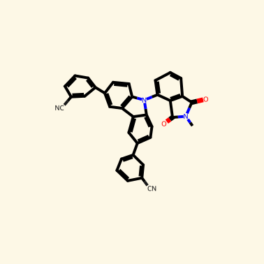 CN1C(=O)c2cccc(-n3c4ccc(-c5cccc(C#N)c5)cc4c4cc(-c5cccc(C#N)c5)ccc43)c2C1=O